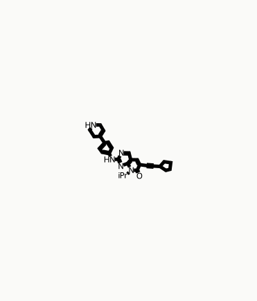 CC(C)n1c(=O)c(C#CC2CCCC2)cc2cnc(Nc3ccc(C4=CCNCC4)cc3)nc21